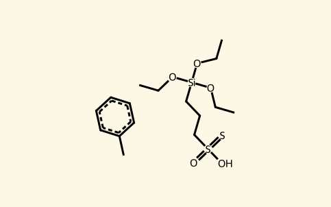 CCO[Si](CCCS(=O)(O)=S)(OCC)OCC.Cc1ccccc1